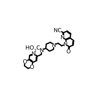 N#Cc1ccc2ccc(=O)n(CCN3CCC(N(Cc4cc5c(cn4)OCCO5)C(=O)O)CC3)c2n1